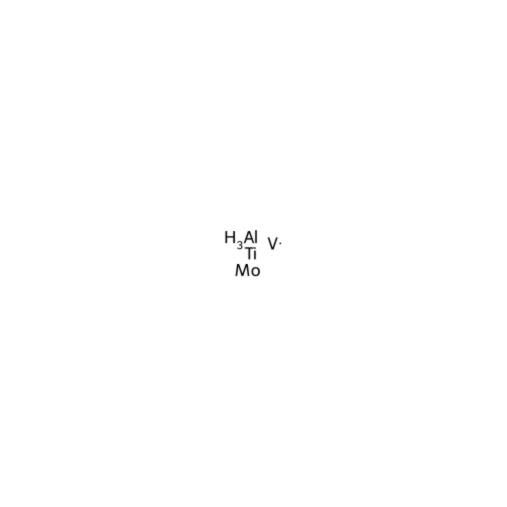 [AlH3].[Mo].[Ti].[V]